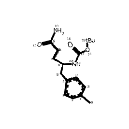 Cc1ccc(C[C@@H](CCC(N)=O)NC(=O)OC(C)(C)C)cc1